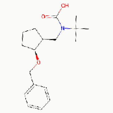 CC(C)(C)N(C[C@@H]1CCC[C@@H]1OCc1ccccc1)C(=O)O